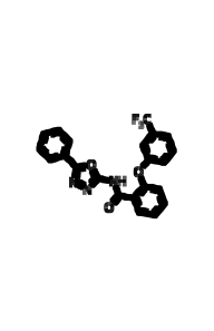 O=C(Nc1nnc(-c2ccccc2)o1)c1ccccc1Oc1cccc(C(F)(F)F)c1